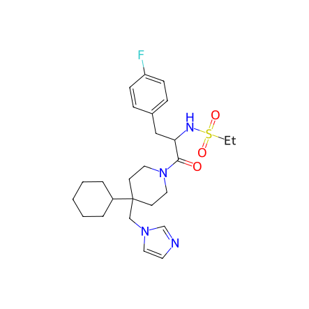 CCS(=O)(=O)NC(Cc1ccc(F)cc1)C(=O)N1CCC(Cn2ccnc2)(C2CCCCC2)CC1